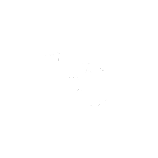 CCCCC/C=C\C/C=C\CCCCCCCC(=O)OCC(COC(=O)CCCCCCC/C=C\C/C=C\CCCCC)OC(=O)CCC(CCCCCCCCCCCC)OC(=O)OCCCCN(CC)CC